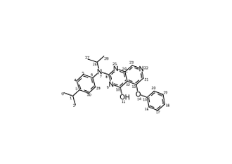 CC(C)c1ccc(N(c2nc(O)c3c(Oc4ccccc4)cncc3n2)C(C)C)cc1